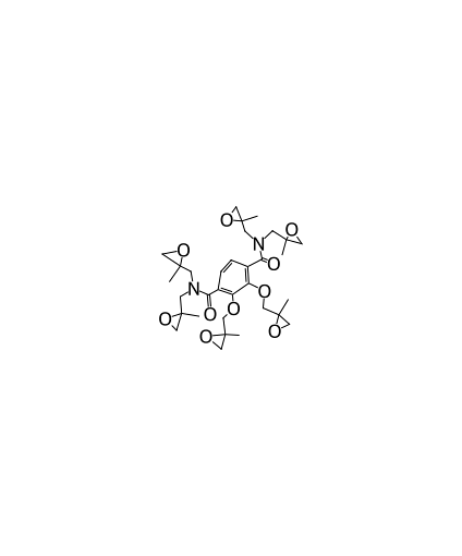 CC1(COc2c(C(=O)N(CC3(C)CO3)CC3(C)CO3)ccc(C(=O)N(CC3(C)CO3)CC3(C)CO3)c2OCC2(C)CO2)CO1